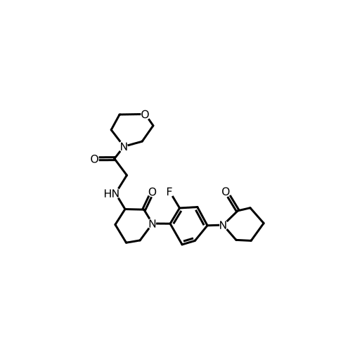 O=C(CNC1CCCN(c2ccc(N3CCCCC3=O)cc2F)C1=O)N1CCOCC1